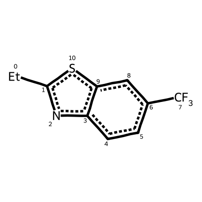 CCc1nc2ccc(C(F)(F)F)cc2s1